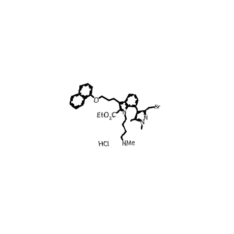 CCOC(=O)c1c(CCCOc2cccc3ccccc23)c2cccc(-c3c(CBr)nn(C)c3C)c2n1CCCCNC.Cl